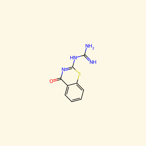 N=C(N)Nc1nc(=O)c2ccccc2s1